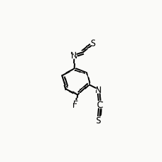 Fc1ccc(N=C=S)cc1N=C=S